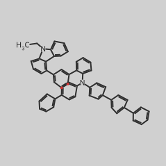 CCn1c2ccccc2c2c(-c3cccc(-c4ccccc4N(c4ccc(-c5ccccc5)cc4)c4ccc(-c5ccc(-c6ccccc6)cc5)cc4)c3)cccc21